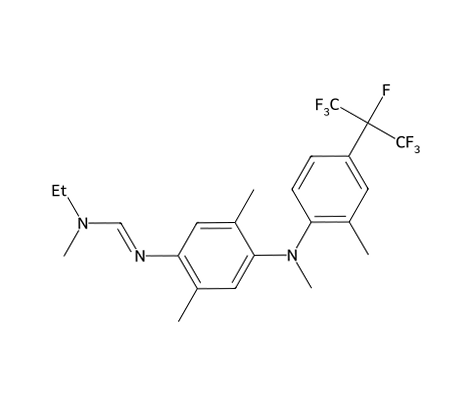 CCN(C)C=Nc1cc(C)c(N(C)c2ccc(C(F)(C(F)(F)F)C(F)(F)F)cc2C)cc1C